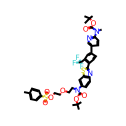 Cc1ccc(S(=O)(=O)OCCOCCN(C(=O)OC(C)(C)C)c2ccc3nc(-c4ccc(-c5ccc(N(C)C(=O)OC(C)(C)C)nc5)cc4C(F)(F)F)sc3c2)cc1